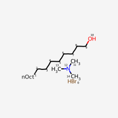 Br.CCCCCCCCCCCCCCCCO.CN(C)C